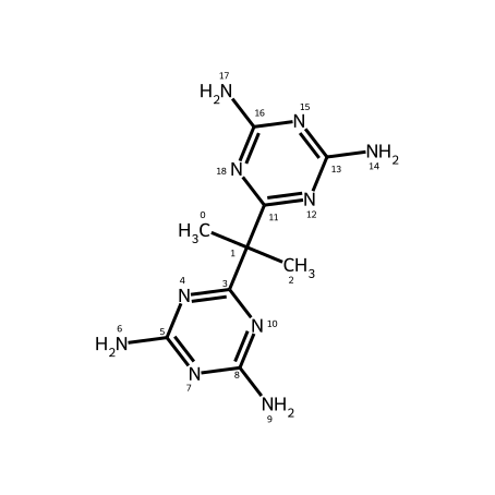 CC(C)(c1nc(N)nc(N)n1)c1nc(N)nc(N)n1